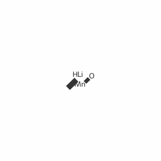 C#C.[LiH].[O]=[Mn]